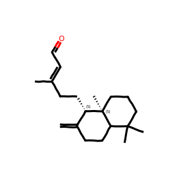 C=C1CCC2C(C)(C)CCC[C@]2(C)[C@H]1CCC(C)=CC=O